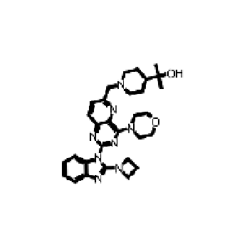 CC(C)(O)C1CCN(Cc2ccc3nc(-n4c(N5CCC5)nc5ccccc54)nc(N4CCOCC4)c3n2)CC1